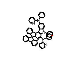 Fc1cccc2c1C1(c3ccccc3-2)c2ccccc2-c2c1cc(N(c1ccccc1)c1ccccn1)c1c2c2cc(N(c3ccccc3)c3ccccn3)ccc2n1-c1ccccc1